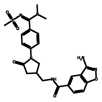 CN(C)/C(=N/S(C)(=O)=O)c1ccc(N2CC(CNC(=O)c3ccc4onc(N)c4c3)CC2=O)cc1